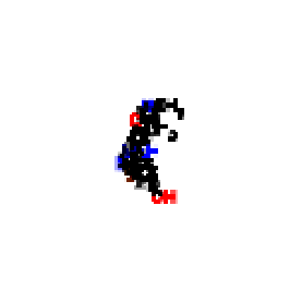 Cc1ccc(Oc2ccc(Nc3ncnc4sc5c(c34)CCC(CCO)C5)cc2C)cn1